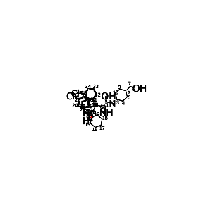 O=C(N[C@H]1CC[C@H](CO)CC1)[C@@H]1NC2(CCCCC2)[C@@]2(C(=O)Nc3cc(Cl)ccc32)[C@H]1c1cccc(Cl)c1F